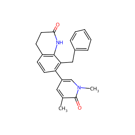 Cc1cc(-c2ccc3c(c2Cc2ccccc2)NC(=O)CC3)cn(C)c1=O